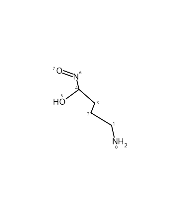 NCCCC(O)N=O